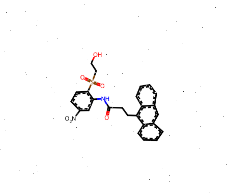 O=C(CCc1c2ccccc2cc2ccccc12)Nc1cc([N+](=O)[O-])ccc1S(=O)(=O)CCO